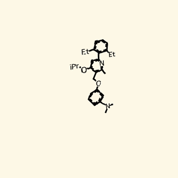 CCc1cccc(CC)c1-c1cc(OC(C)C)c(COc2cccc(N(C)C)c2)c(C)n1